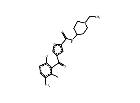 CCN1CCC(NC(=O)c2cc(C(=O)c3c(Cl)ccc(C)c3F)c[nH]2)CC1